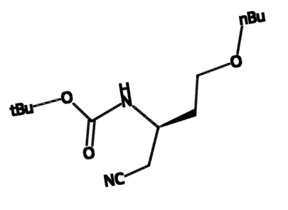 CCCCOCC[C@@H](CC#N)NC(=O)OC(C)(C)C